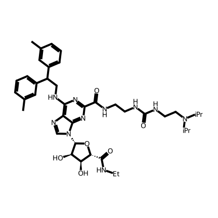 CCNC(=O)[C@H]1O[C@@H](n2cnc3c(NCC(c4cccc(C)c4)c4cccc(C)c4)nc(C(=O)NCCNC(=O)NCCN(C(C)C)C(C)C)nc32)[C@H](O)[C@@H]1O